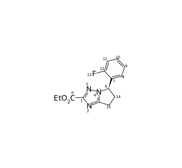 CCOC(=O)c1nc2n(n1)[C@@H](c1ccccc1F)CC2